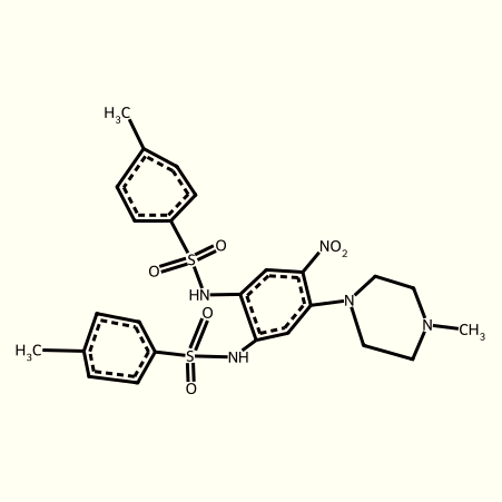 Cc1ccc(S(=O)(=O)Nc2cc(N3CCN(C)CC3)c([N+](=O)[O-])cc2NS(=O)(=O)c2ccc(C)cc2)cc1